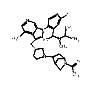 CC(=O)N1CC2CC1CC2N1CC[C@@H](Cc2cn(-c3ccc(F)cc3C(O)N(C)C(C)C)c3cncc(C)c23)C1